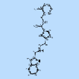 O=C(NCc1ncccc1Cl)c1csc(CCNCc2nc3ccccc3[nH]2)n1